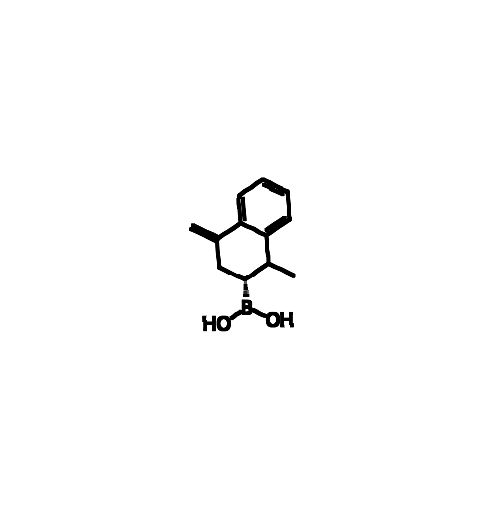 C=C1C[C@@H](B(O)O)C(C)c2ccccc21